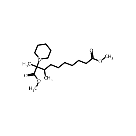 COC(=O)CCCCCCC(C)C(C)(C(=O)OC)N1CCCCC1